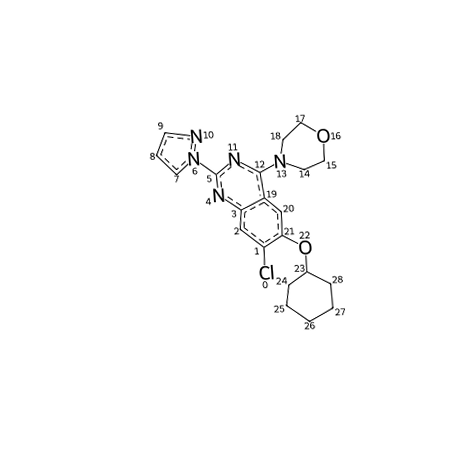 Clc1cc2nc(-n3cccn3)nc(N3CCOCC3)c2cc1OC1CCCCC1